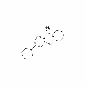 Nc1c2c(nc3cc(C4CCCCC4)ccc13)CCCC2